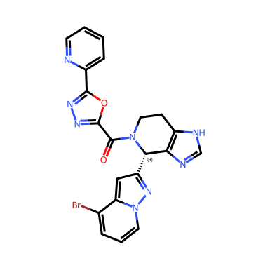 O=C(c1nnc(-c2ccccn2)o1)N1CCc2[nH]cnc2[C@@H]1c1cc2c(Br)cccn2n1